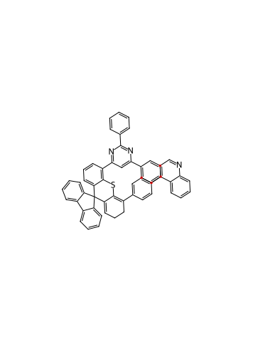 C1=C2C(=C(c3ccc(-c4ccnc5ccccc45)cc3)CC1)Sc1c(-c3cc(-c4ccccc4)nc(-c4ccccc4)n3)cccc1C21c2ccccc2-c2ccccc21